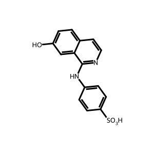 O=S(=O)(O)c1ccc(Nc2nccc3ccc(O)cc23)cc1